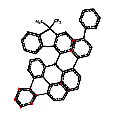 CC1(C)c2ccccc2-c2c(N(c3ccccc3-c3ccc(-c4ccccc4)cc3)c3cccc(-c4ccccc4)c3-c3ccccc3-c3ccccc3)cccc21